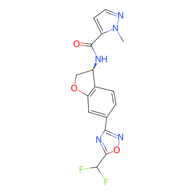 Cn1nccc1C(=O)N[C@@H]1COc2cc(-c3noc(C(F)F)n3)ccc21